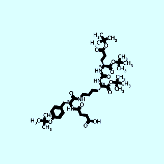 CC(C)(C)OC(=O)CC[C@H](NC(=O)N[C@@H](CCCCNC(=O)[C@H](Cc1ccc(OC(C)(C)C)cc1)NC(=O)CCC(=O)O)C(=O)OC(C)(C)C)C(=O)OC(C)(C)C